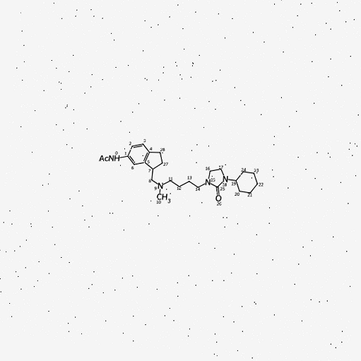 CC(=O)Nc1ccc2c(c1)C(CN(C)CCCCN1CCN(C3CCCCC3)C1=O)CC2